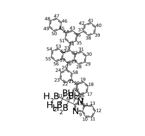 BC(B)(B)C(B)(B)c1nc2ccccc2n1-c1cccc(-c2cccc(-c3c4ccccc4c(-c4cc(-c5ccccc5)cc(-c5ccccc5)c4)c4ccccc34)c2)c1